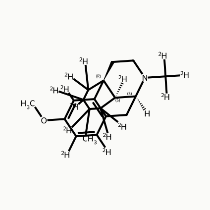 [2H]c1c([2H])c(OC)c([2H])c2c1C[C@@H]1N(C([2H])([2H])[2H])CC[C@]23C([2H])([2H])C([2H])([2H])C([2H])(C)C([2H])([2H])[C@]13[2H]